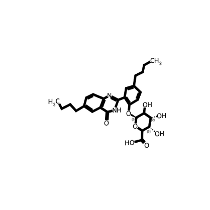 CCCCc1ccc(O[C@@H]2OC(C(=O)O)[C@@H](O)[C@@H](O)C2O)c(-c2nc3ccc(CCCC)cc3c(=O)[nH]2)c1